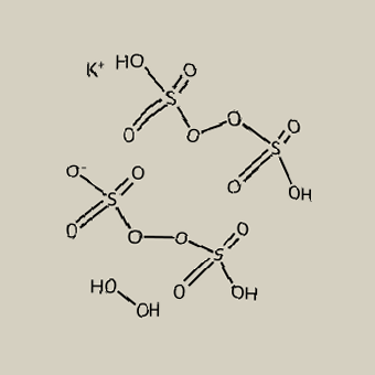 O=S(=O)(O)OOS(=O)(=O)O.O=S(=O)([O-])OOS(=O)(=O)O.OO.[K+]